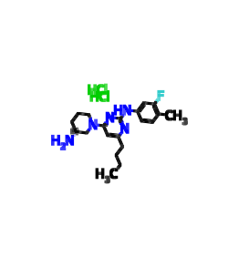 CCCCc1cc(N2CCC[C@@H](N)C2)nc(Nc2ccc(C)c(F)c2)n1.Cl.Cl